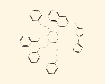 c1ccc(COC[C@H]2O[C@@H](c3cc(Cc4nnc(-c5ccco5)s4)cc4ccccc34)[C@H](OCc3ccccc3)[C@@H](OCc3ccccc3)[C@@H]2OCc2ccccc2)cc1